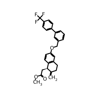 C=C1CCc2cc(OCc3cccc(-c4ccc(C(F)(F)F)cc4)c3)ccc2[C@@H]1CC(=O)OC